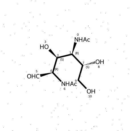 CC(=O)N[C@H]([C@H](O)[C@H](C=O)NC(C)=O)[C@H](O)CO